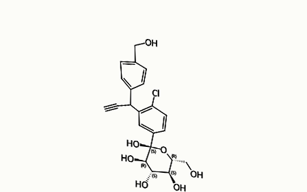 C#CC(c1ccc(CO)cc1)c1cc([C@]2(O)O[C@H](CO)[C@@H](O)[C@H](O)[C@H]2O)ccc1Cl